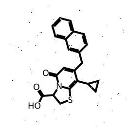 O=C(O)C1CSc2c(C3CC3)c(Cc3ccc4ccccc4c3)cc(=O)n21